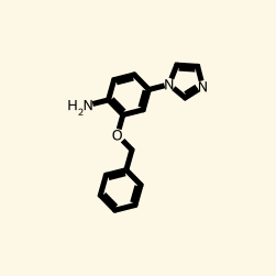 Nc1ccc(-n2ccnc2)cc1OCc1ccccc1